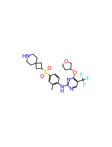 Cc1cc(S(=O)(=O)C2CC3(CCNCC3)C2)ccc1Nc1ncc(C(F)(F)F)c(OC2CCOC2)n1